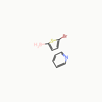 Bc1ccc(Br)s1.c1ccncc1